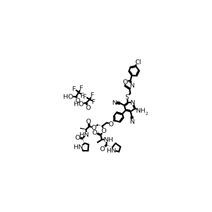 CC(NC(=O)[C@@H]1CCCN1)C(=O)O[C@H](COC(=O)[C@H](C)NC(=O)[C@@H]1CCCN1)COc1ccc(-c2c(C#N)c(N)nc(SCc3coc(-c4ccc(Cl)cc4)n3)c2C#N)cc1.O=C(O)C(F)(F)F.O=C(O)C(F)(F)F